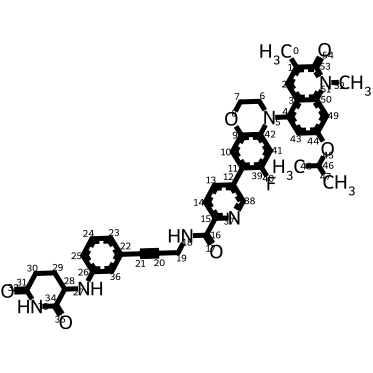 Cc1cc2c(N3CCOc4cc(-c5ccc(C(=O)NCC#Cc6cccc(NC7CCC(=O)NC7=O)c6)nc5)c(F)cc43)cc(OC(C)C)cc2n(C)c1=O